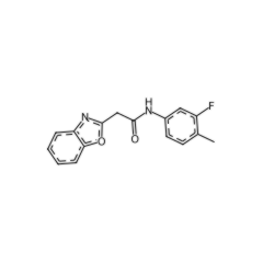 Cc1ccc(NC(=O)Cc2nc3ccccc3o2)cc1F